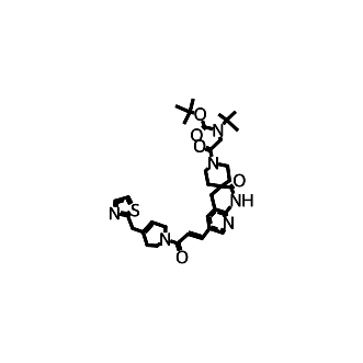 CC(C)(C)OC(=O)N(CC(=O)N1CCC2(CC1)Cc1cc(C=CC(=O)N3CC=C(Cc4nccs4)CC3)cnc1NC2=O)C(C)(C)C